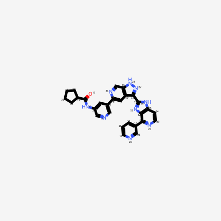 O=C(Nc1cncc(-c2cc3c(-c4nc5c(-c6cccnc6)nccc5[nH]4)n[nH]c3cn2)c1)C1CCCC1